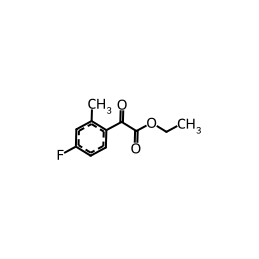 CCOC(=O)C(=O)c1ccc(F)cc1C